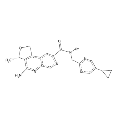 CC(C)N(Cc1ccc(C2CC2)cn1)C(=O)c1cc2c3c(c(N)nc2cn1)[C@H](C)OC3